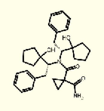 NC(=O)C1(C(=O)N([C@H](Cc2ccccc2)C2(O)CCCC2)[C@H](Cc2ccccc2)C2(O)CCCC2)CC1